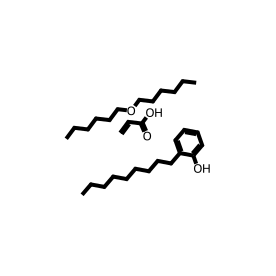 C=CC(=O)O.CCCCCCCCCc1ccccc1O.CCCCCCOCCCCCC